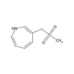 CS(=O)(=O)CC1=CNC=CC=C1